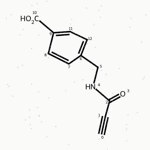 C#CC(=O)NCc1ccc(C(=O)O)cc1